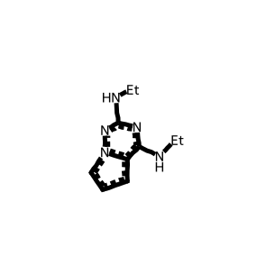 CCNc1nc(NCC)c2cccn2n1